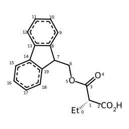 CC[C@@H](C(=O)O)C(=O)OCC1c2ccccc2-c2ccccc21